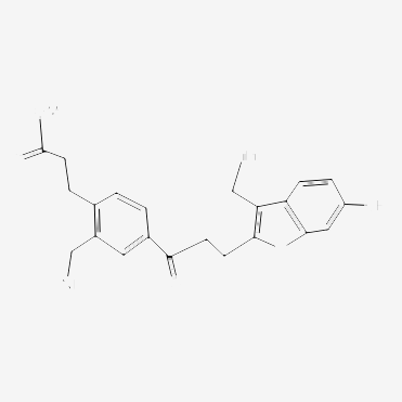 COC(=O)CCc1ccc(C(=O)CCc2sc3cc(C(F)(F)F)ccc3c2CC(C)C)cc1CN